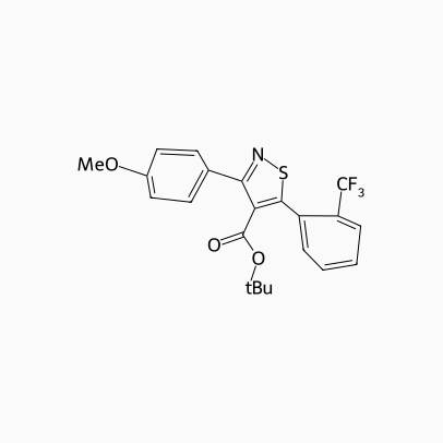 COc1ccc(-c2nsc(-c3ccccc3C(F)(F)F)c2C(=O)OC(C)(C)C)cc1